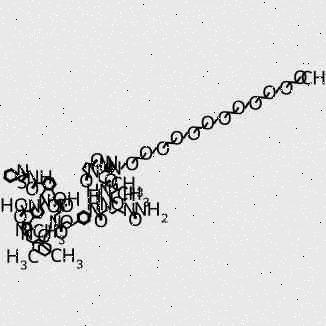 COCCOCCOCCOCCOCCOCCOCCOCCOCCOCCOCCOCCn1cc([C@@H](CC(=O)N[C@H](C(=O)N[C@@H](CCCNC(N)=O)C(=O)Nc2ccc(COC(=O)N(CCOC34CC5(C)CC(C)(CC(Cn6ncc(-c7ccc(N8CCc9cccc(C(=O)Nc%10nc%11ccccc%11s%10)c9C8)nc7C(=O)O)c6C)(C5)C3)C4)CCS(=O)(=O)O)cc2)C(C)C)N2C(=O)C=CC2=O)nn1